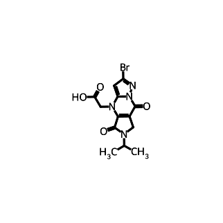 CC(C)N1Cc2c(n(CC(=O)O)c3cc(Br)nn3c2=O)C1=O